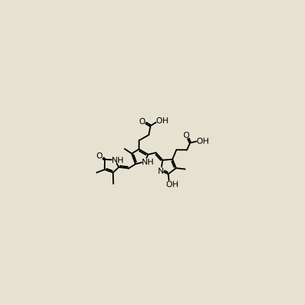 CC1=C(CCC(=O)O)/C(=C/c2[nH]c(/C=C3\NC(=O)C(C)=C3C)c(C)c2CCC(=O)O)N=C1O